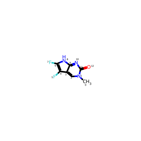 Cn1cc2c(F)c(F)[nH]c2nc1=O